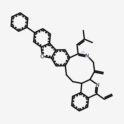 C=CC1=NC2C(=C)C/N=C(/C=C(C)C)c3cc4c(cc3CCC2c2ccccc21)oc1cc(-c2ccccc2)ccc14